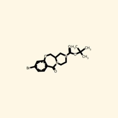 CC(C)(C)OC(=O)N1CCN2C(=O)c3ccc(Br)cc3OCC2C1